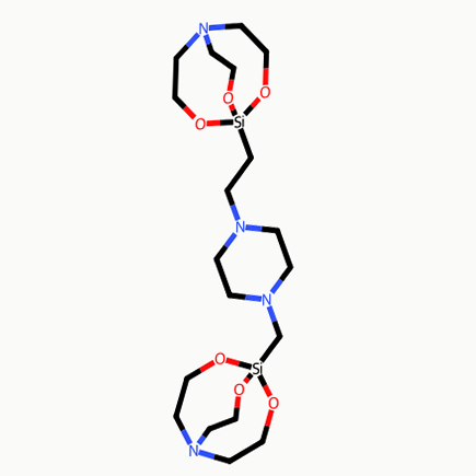 C1CN2CCO[Si](CCN3CCN(C[Si]45OCCN(CCO4)CCO5)CC3)(O1)OCC2